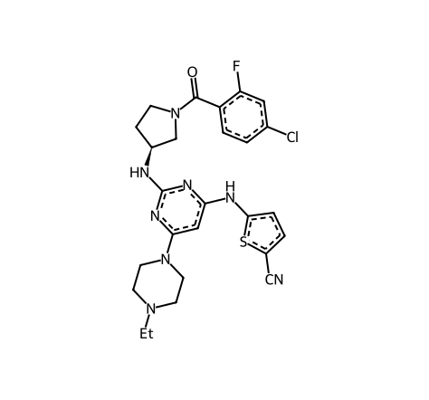 CCN1CCN(c2cc(Nc3ccc(C#N)s3)nc(N[C@H]3CCN(C(=O)c4ccc(Cl)cc4F)C3)n2)CC1